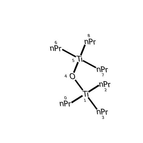 CC[CH2][Ti]([CH2]CC)([CH2]CC)[O][Ti]([CH2]CC)([CH2]CC)[CH2]CC